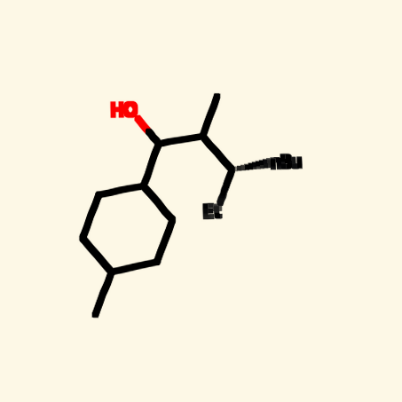 CCCC[C@H](CC)C(C)C(O)C1CCC(C)CC1